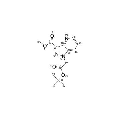 COC(=O)c1nn(CC(=O)OC(C)(C)C)c2cccnc12